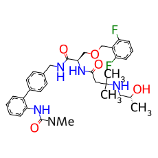 CNC(=O)Nc1ccccc1-c1ccc(CNC(=O)[C@@H](COCc2c(F)cccc2F)NC(=O)CC(C)(C)NC[C@@H](C)O)cc1